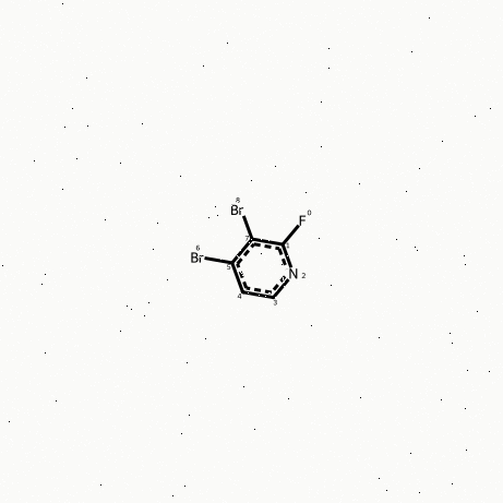 Fc1nccc(Br)c1Br